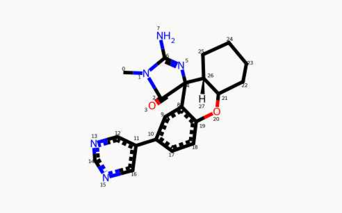 CN1C(=O)C2(N=C1N)c1cc(-c3cncnc3)ccc1OC1CCCC[C@H]12